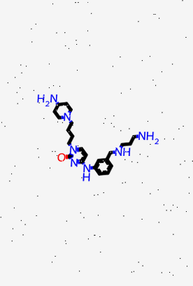 NCCCNCc1cccc(Nc2ccn(CCCCN3CCC(N)CC3)c(=O)n2)c1